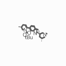 C[C@@H]1C[C@@H](n2cc3ccc(C4=CC[C@H](C)CN4C(=O)OC(C)(C)C)cc3n2)CN(C)C1